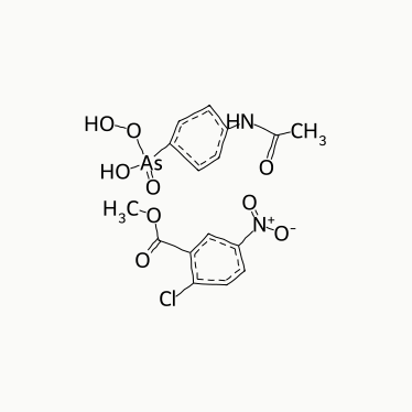 CC(=O)Nc1ccc([As](=O)(O)OO)cc1.COC(=O)c1cc([N+](=O)[O-])ccc1Cl